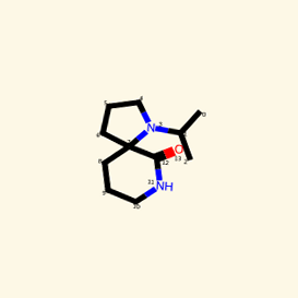 CC(C)N1CCCC12CCCNC2=O